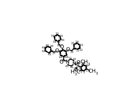 Cc1cc(C)c(S(=O)(=O)N2CCN(C(=O)c3cc(OCc4ccccc4)c(OCc4ccccc4)c(OCc4ccccc4)c3)CC2)c(C)c1